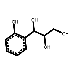 OCC(O)C(O)c1ccccc1O